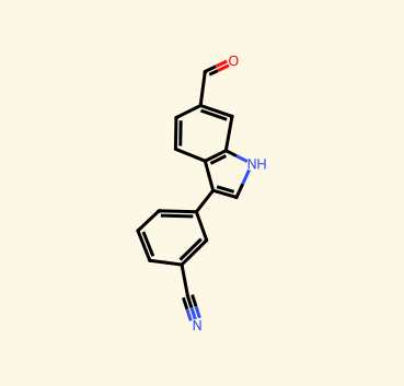 N#Cc1cccc(-c2c[nH]c3cc(C=O)ccc23)c1